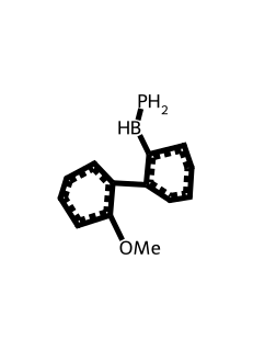 COc1ccccc1-c1ccccc1BP